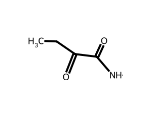 CCC(=O)C([NH])=O